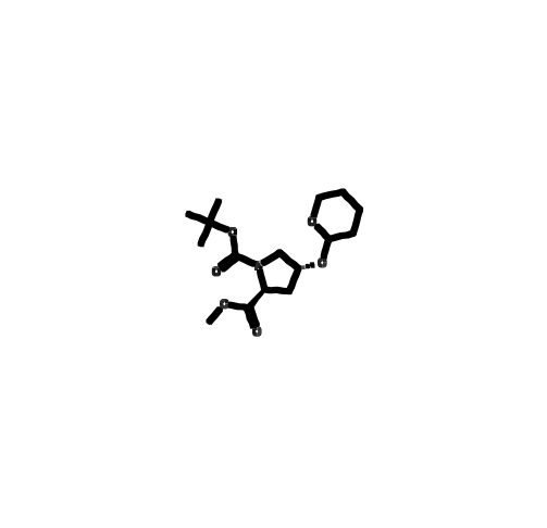 COC(=O)[C@@H]1C[C@@H](OC2CCCCO2)CN1C(=O)OC(C)(C)C